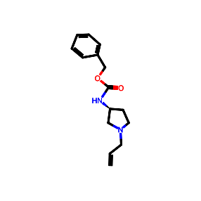 C=CCN1CC[C@H](NC(=O)OCc2ccccc2)C1